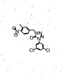 Cc1cc(Cn2nnn(-c3cc(Cl)cc(Cl)c3)c2=O)ccc1[N+](=O)[O-]